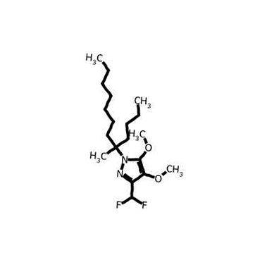 CCCCCCCC(C)(CCCC)n1nc(C(F)F)c(OC)c1OC